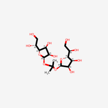 CC(C)(O[C@H]1O[C@H]([C@H](O)CO)[C@@H](O)[C@H]1O)O[C@H]1O[C@H]([C@H](O)CO)[C@@H](O)[C@H]1O